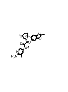 Cc1nc2cc([C@H]3CC[C@H](C)CN3C(=O)C(=O)Nc3cnc(N)c(C)c3)ccc2o1